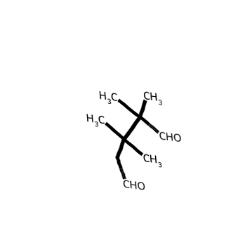 CC(C)(C=O)C(C)(C)CC=O